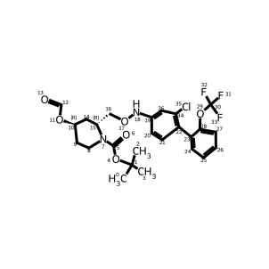 CC(C)(C)OC(=O)N1CC[C@@H](OC=O)C[C@@H]1CONc1ccc(-c2ccccc2OC(F)(F)F)c(Cl)c1